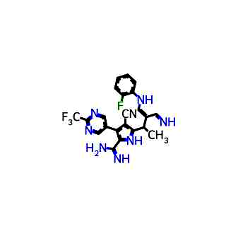 CC(/C(C=N)=C/Nc1ccccc1F)c1[nH]c(C(=N)N)c(-c2cnc(C(F)(F)F)nc2)c1C#N